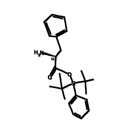 CC(C)(C)[Si](OC(=O)[C@@H](N)Cc1ccccc1)(c1ccccc1)C(C)(C)C